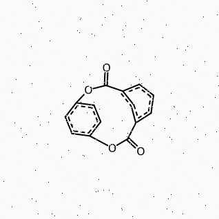 O=C1Oc2ccc(cc2)OC(=O)c2cccc1c2